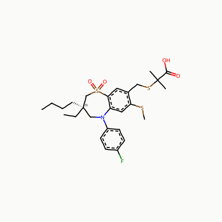 CCCC[C@@]1(CC)CN(c2ccc(F)cc2)c2cc(SC)c(CSC(C)(C)C(=O)O)cc2S(=O)(=O)C1